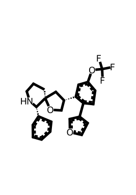 FC(F)(F)Oc1ccc(-c2ccoc2)c([C@@H]2CO[C@]3(CCCN[C@H]3c3ccccc3)C2)c1